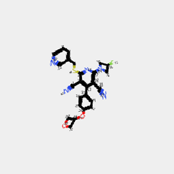 N#Cc1c(SCc2cccnc2)nc(N2CC(F)C2)c(C#N)c1-c1ccc(OC2COC2)cc1